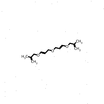 C=C(C)CO/C=C/COC/C=C/OCC(=C)C